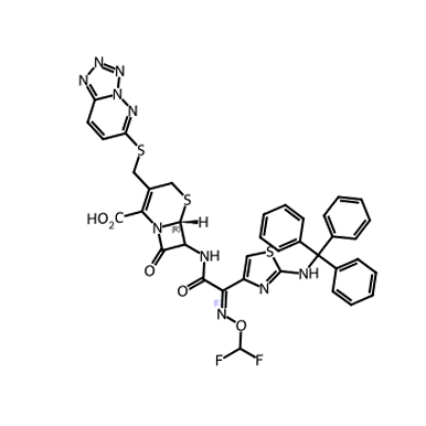 O=C(O)C1=C(CSc2ccc3nnnn3n2)CS[C@@H]2C(NC(=O)/C(=N/OC(F)F)c3csc(NC(c4ccccc4)(c4ccccc4)c4ccccc4)n3)C(=O)N12